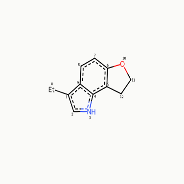 CCc1c[nH]c2c3c(ccc12)OCC3